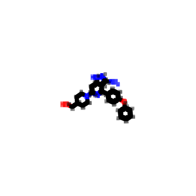 Nc1n[nH]c2cc(N3CCC(CO)CC3)nc(-c3ccc(Oc4ccccc4)cc3)c12